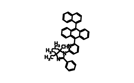 CC1(C)N=C(c2ccccc2)N(c2cccc(-c3c4ccccc4c(-c4cccc5ccccc45)c4ccccc34)n2)C1(C)C